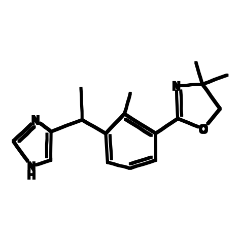 Cc1c(C2=NC(C)(C)CO2)cccc1C(C)c1c[nH]cn1